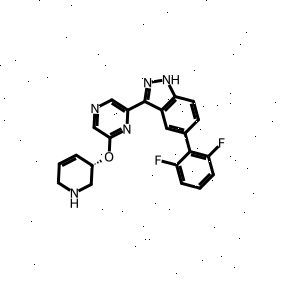 Fc1cccc(F)c1-c1ccc2[nH]nc(-c3cncc(O[C@H]4C=CCNC4)n3)c2c1